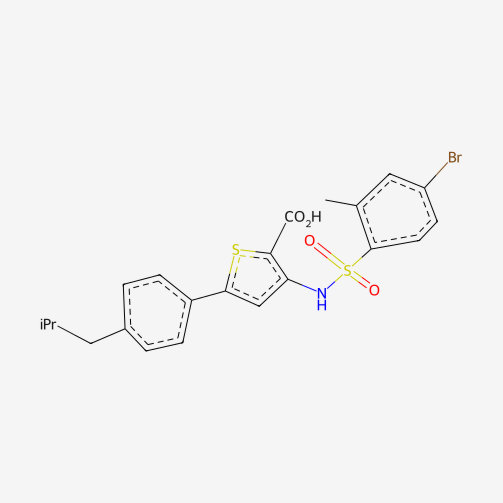 Cc1cc(Br)ccc1S(=O)(=O)Nc1cc(-c2ccc(CC(C)C)cc2)sc1C(=O)O